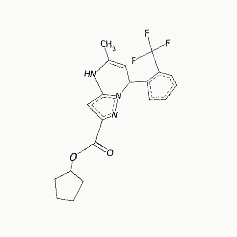 CC1=CC(c2ccccc2C(F)(F)F)n2nc(C(=O)OC3CCCC3)cc2N1